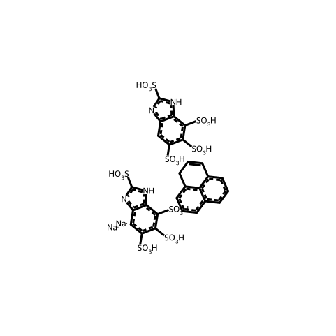 C1=Cc2cccc3cccc(c23)C1.O=S(=O)(O)c1nc2cc(S(=O)(=O)O)c(S(=O)(=O)O)c(S(=O)(=O)O)c2[nH]1.O=S(=O)(O)c1nc2cc(S(=O)(=O)O)c(S(=O)(=O)O)c(S(=O)(=O)O)c2[nH]1.[Na].[Na]